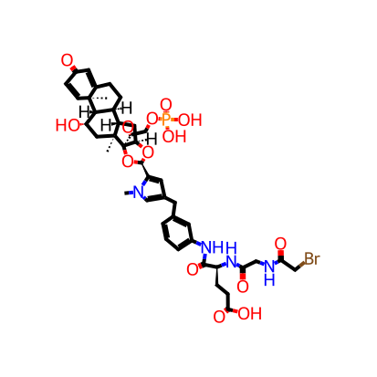 Cn1cc(Cc2cccc(NC(=O)[C@H](CCC(=O)O)NC(=O)CNC(=O)CBr)c2)cc1[C@@H]1O[C@@H]2C[C@H]3[C@@H]4CCC5=CC(=O)C=C[C@]5(C)[C@H]4[C@@H](O)C[C@]3(C)[C@]2(C(=O)COP(=O)(O)O)O1